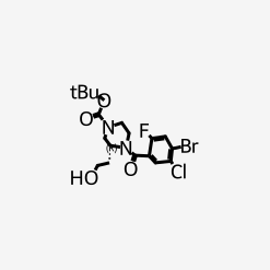 CC(C)(C)OC(=O)N1CCN(C(=O)c2cc(Cl)c(Br)cc2F)[C@H](CCO)C1